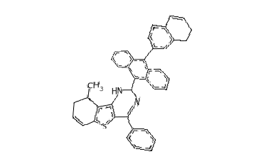 CC1CC=Cc2sc3c(c21)NC(c1c2ccccc2c(-c2ccc4c(c2)CCC=C4)c2ccccc12)N=C3c1ccccc1